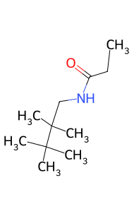 CCC(=O)NCC(C)(C)C(C)(C)C